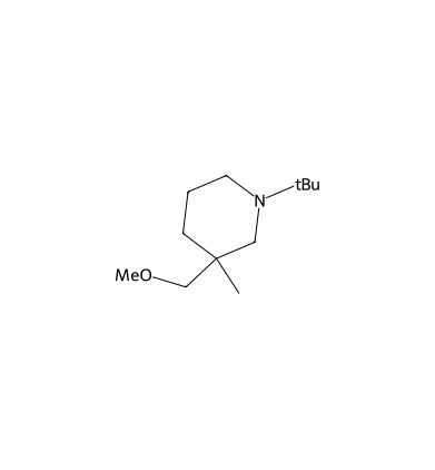 COCC1(C)CCCN(C(C)(C)C)C1